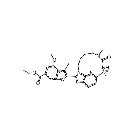 CCOC(=O)c1cc(OC)n2c(C)c(-c3cc4ccc5nc4n3CCCCN(C)C(=O)N[C@@H]5C)nc2c1